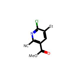 CCc1cc(C(=O)OC)c(C#N)nc1Cl